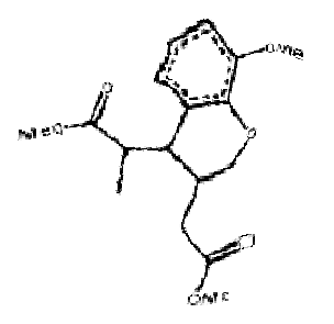 COC(=O)CC1COc2c(OC)cccc2C1C(C)C(=O)OC